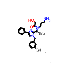 CC(C)(C)[C@H](c1nc(-c2ccccc2)cn1Cc1cccc(C#N)c1)N(CCCN)C(=O)CO